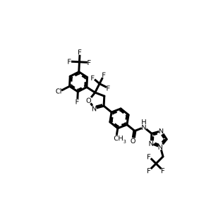 Cc1cc(C2=NOC(c3cc(C(F)(F)F)cc(Cl)c3F)(C(F)(F)F)C2)ccc1C(=O)Nc1ncn(CC(F)(F)F)n1